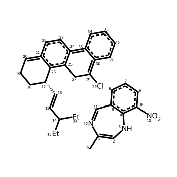 CC1=CNc2c(cccc2[N+](=O)[O-])C=N1.CCC(C=C[C@@H]1CCC=c2ccc3c(c21)CC(Cl)=c1ccccc1=3)CC